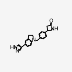 O=C1CC(c2ccc(CN3CCc4cc(-c5cn[nH]c5)ccc43)cc2)CN1